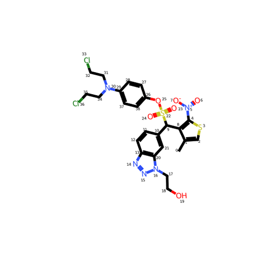 Cc1csc([N+](=O)[O-])c1C(c1ccc2nnn(CCO)c2c1)S(=O)(=O)Oc1ccc(N(CCCl)CCCl)cc1